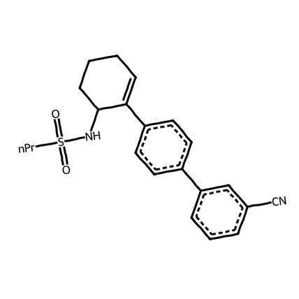 CCCS(=O)(=O)NC1CCCC=C1c1ccc(-c2cccc(C#N)c2)cc1